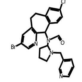 O=CN(C1c2ccc(Cl)cc2CCc2cc(Br)cnc21)C1CCCN1Cc1cccnc1